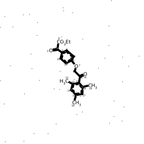 CCOC(=O)C(=O)c1ccc(OCC(=O)c2c(C)cc(C)cc2C)cc1